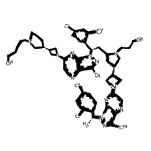 C[C@H](c1ccc(Cl)cc1Cl)n1nc(C#N)c2ncc(N3CC([C@H]4CC(C[C@H](c5ccc(Cl)cc5Cl)n5nc(C#N)c6ncc(N7CC([C@@H]8CCN(CCCO)C8)C7)nc65)N(CCCO)C4)C3)nc21